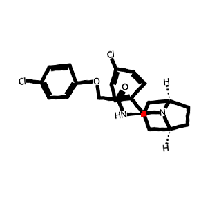 O=C(COc1ccc(Cl)cc1)N[C@H]1C[C@H]2CC[C@@H](C1)N2Cc1ccc(Cl)cc1